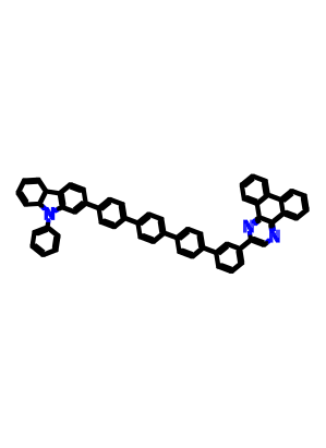 C1=CC2c3ccc(-c4ccc(-c5ccc(-c6ccc(-c7cccc(-c8cnc9c%10ccccc%10c%10ccccc%10c9n8)c7)cc6)cc5)cc4)cc3N(c3ccccc3)C2C=C1